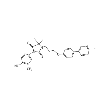 Cc1ccc(-c2ccc(OCCCN3C(=S)N(c4ccc(C#N)c(C(F)(F)F)c4)C(=O)C3(C)C)cc2)cn1